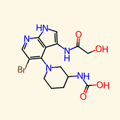 O=C(O)NC1CCCN(c2c(Br)cnc3[nH]cc(NC(=O)CO)c23)C1